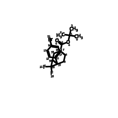 CC(C)(C)OC(=O)N1CCC2(c3ccc(Br)cc3)C(C1)C2(F)F